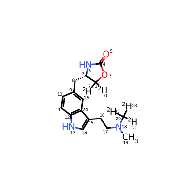 [2H]C1([2H])OC(=O)N[C@H]1Cc1ccc2[nH]cc(CCN(C)C([2H])([2H])[2H])c2c1